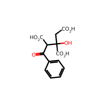 O=C(O)CC(O)(C(=O)O)C(C(=O)O)C(=O)c1ccccc1